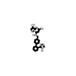 CCc1cc(NCc2ccc(-c3ccccc3-c3nnn[nH]3)cc2)n2ncc(C(F)(F)F)c2n1